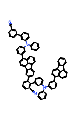 N#Cc1cccc(-c2cccc(N(c3ccccc3)c3cccc(-c4ccc5c6c(cccc46)-c4ccc(-c6cccc(C#N)c6-c6cccc(N(c7ccccc7)c7cccc(-c8ccc9c%10c(cccc8%10)-c8ccccc8-9)c7)c6)cc4-5)c3)c2)c1